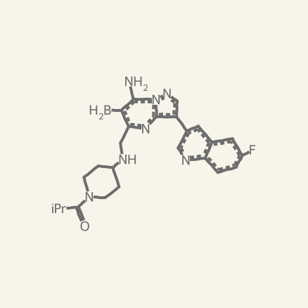 Bc1c(CNC2CCN(C(=O)C(C)C)CC2)nc2c(-c3cnc4ccc(F)cc4c3)cnn2c1N